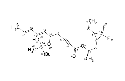 C=CC1C(C[C@@H](C)OC(=O)C#CCC(/C=C/C=C/C)O[Si](C)(C)C(C)(C)C)C1(F)F